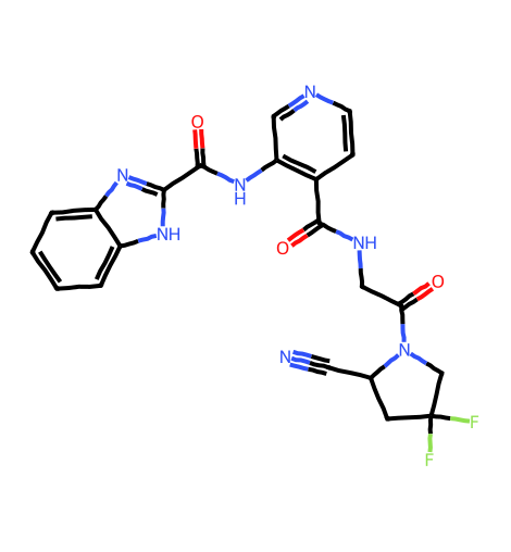 N#CC1CC(F)(F)CN1C(=O)CNC(=O)c1ccncc1NC(=O)c1nc2ccccc2[nH]1